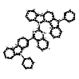 c1ccc(-n2c3ccccc3c3ccc(-c4nc(-n5c6ccccc6c6ccc7c(c8ccccc8n7-c7ccccc7)c65)nc5ccccc45)cc32)cc1